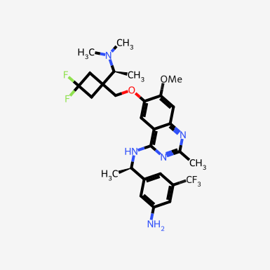 COc1cc2nc(C)nc(N[C@H](C)c3cc(N)cc(C(F)(F)F)c3)c2cc1OCC1([C@H](C)N(C)C)CC(F)(F)C1